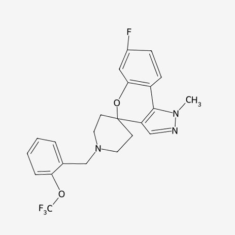 Cn1ncc2c1-c1ccc(F)cc1OC21CCN(Cc2ccccc2OC(F)(F)F)CC1